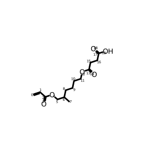 C=CC(=O)OCC(C)CCCCOC(=O)CCC(=O)O